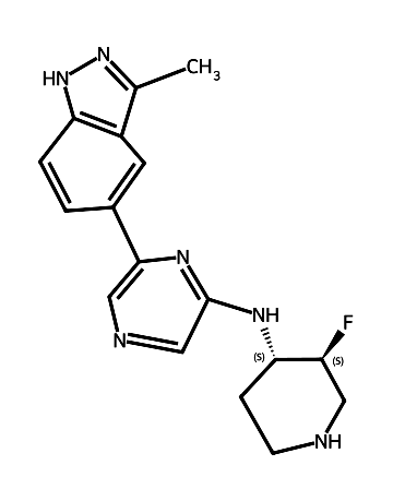 Cc1n[nH]c2ccc(-c3cncc(N[C@H]4CCNC[C@@H]4F)n3)cc12